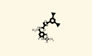 C[C@@H](NC(=O)c1coc(-c2cc(C3CC3)cc(C3CC3)c2)n1)c1cc(F)c(NS(C)(=O)=O)c(F)c1